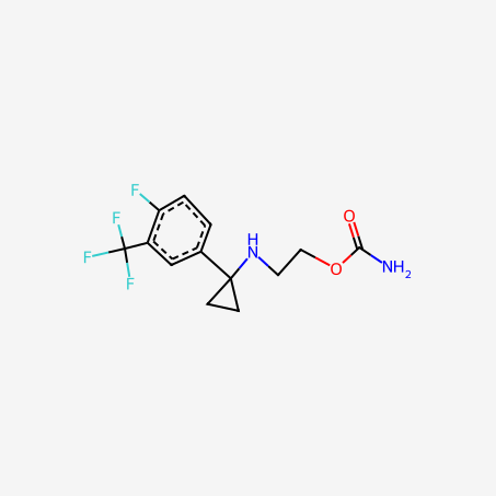 NC(=O)OCCNC1(c2ccc(F)c(C(F)(F)F)c2)CC1